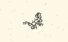 CCCOc1cc(C=C(C(=O)OC(C)C)C(=O)OC(C)C)ccc1O